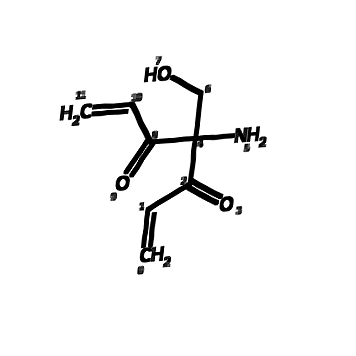 C=CC(=O)C(N)(CO)C(=O)C=C